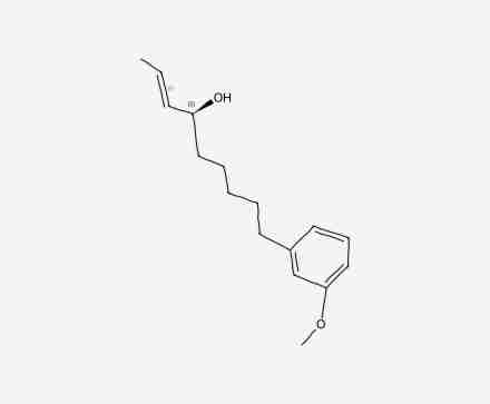 C/C=C/[C@@H](O)CCCCCc1cccc(OC)c1